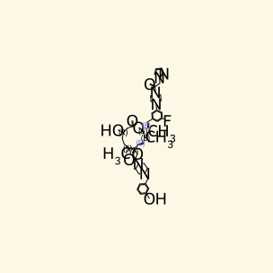 C/C(=C\c1cc(F)cc(N2CCN(C(=O)Cn3cccn3)CC2)c1)[C@H]1OC(=O)C[C@H](O)CC[C@H](C)[C@H](OC(=O)N2CCN(Cc3cccc(O)c3)CC2)/C=C/[C@@H]1C